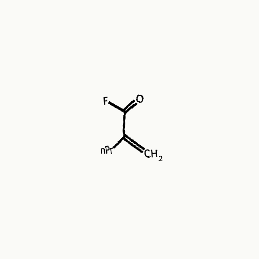 C=C(CCC)C(=O)F